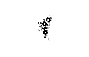 C=C(Nc1cc(Cl)c(N2CCC(F)(F)CC2)c(Cl)c1N)C(CO)c1ccc(OCC)cc1